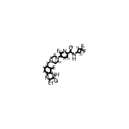 CCc1nc2ccc(CN3CCN(c4ccc(C(=O)NC5CC(F)(F)C5)nc4F)CC3)c(F)c2[nH]c1=O